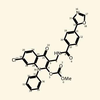 COC(=O)Oc1c(CNC(=O)c2ccc(-c3cnco3)cc2)c(=O)c2ccc(Cl)cc2n1-c1ccccc1